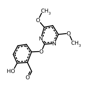 COc1cc(OC)nc(Oc2cccc(O)c2C=O)n1